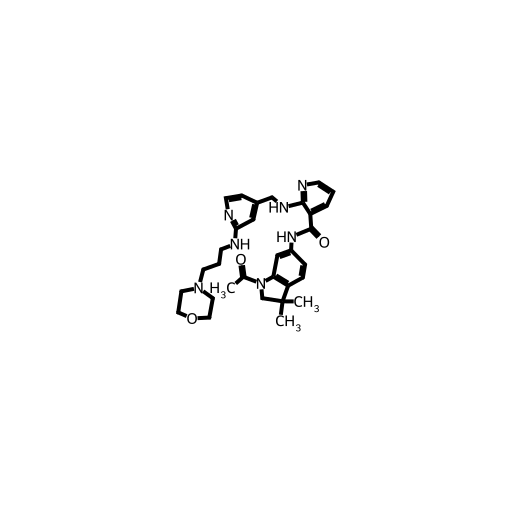 CC(=O)N1CC(C)(C)c2ccc(NC(=O)c3cccnc3NCc3ccnc(NCCCN4CCOCC4)c3)cc21